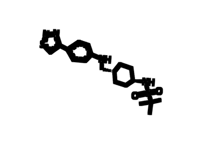 CC(C)(C)S(=O)(=O)N[C@H]1CC[C@H](CNc2ccc(-c3csnn3)cc2)CC1